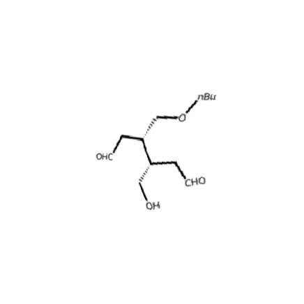 CCCCOC[C@@H](CC=O)[C@@H](CO)CC=O